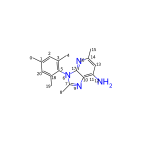 Cc1cc(C)c(-n2c(C)nc3c(N)cc(C)nc32)c(C)c1